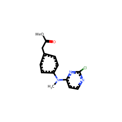 COC(=O)Cc1ccc(N(C)c2ccnc(Cl)n2)cc1